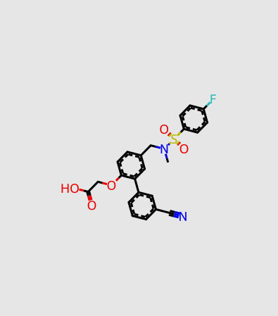 CN(Cc1ccc(OCC(=O)O)c(-c2cccc(C#N)c2)c1)S(=O)(=O)c1ccc(F)cc1